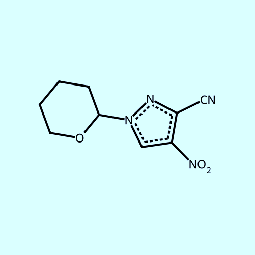 N#Cc1nn(C2CCCCO2)cc1[N+](=O)[O-]